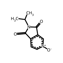 CC(C)N1C(=O)c2cc[n+]([O-])cc2C1=O